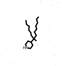 CCCCCCCC(C)(CCCCCC)C1CCNCC1